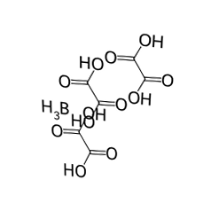 B.O=C(O)C(=O)O.O=C(O)C(=O)O.O=C(O)C(=O)O